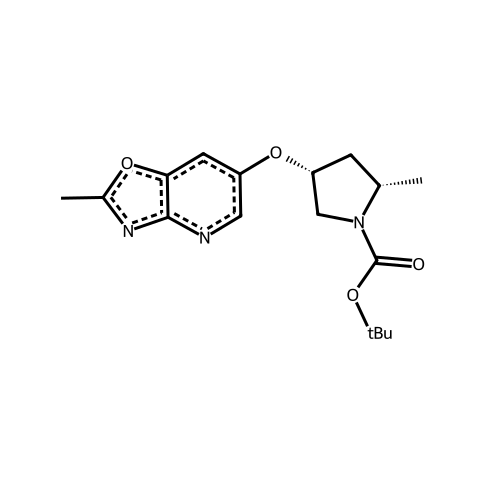 Cc1nc2ncc(O[C@@H]3C[C@H](C)N(C(=O)OC(C)(C)C)C3)cc2o1